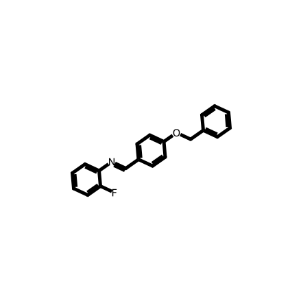 Fc1ccccc1/N=C/c1ccc(OCc2ccccc2)cc1